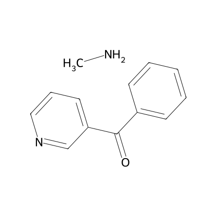 CN.O=C(c1ccccc1)c1cccnc1